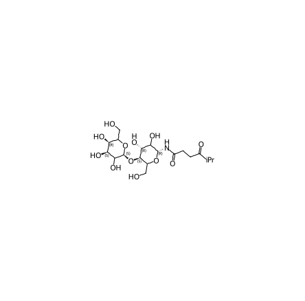 CC(C)C(=O)CCC(=O)N[C@@H]1OC(CO)[C@@H](O[C@@H]2OC(CO)[C@H](O)[C@H](O)C2O)[C@H](O)C1O